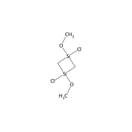 CO[Si]1(Cl)C[Si](Cl)(OC)C1